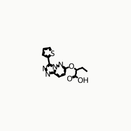 CCC(Oc1ccc2nnc(-c3cccs3)n2n1)C(=O)O